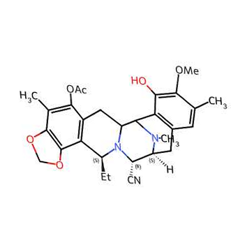 CC[C@H]1c2c(c(OC(C)=O)c(C)c3c2OCO3)CC2C3c4c(cc(C)c(OC)c4O)C[C@@H]([C@H](C#N)N21)N3C